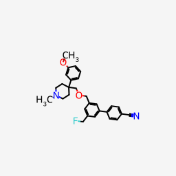 COc1cccc(C2(COCc3cc(CF)cc(-c4ccc(C#N)cc4)c3)CCN(C)CC2)c1